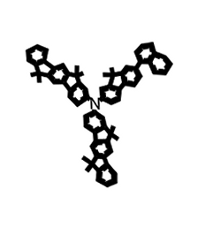 CC1(C)c2cc(-c3cccc4ccccc34)ccc2-c2ccc(N(c3ccc4c(c3)C(C)(C)c3cc5c(cc3-4)C(C)(C)c3ccccc3-5)c3ccc4c(c3)C(C)(C)c3cc5c(cc3-4)C(C)(C)c3ccccc3-5)cc21